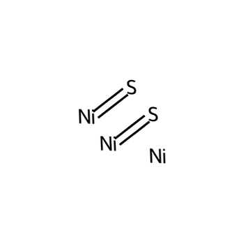 [Ni].[S]=[Ni].[S]=[Ni]